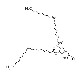 CCCCCCCC/C=C\CCCCCCCC(=O)OC1CN(CC(O)CO)CC1OC(=O)CCCCCCC/C=C\CCCCCCCC